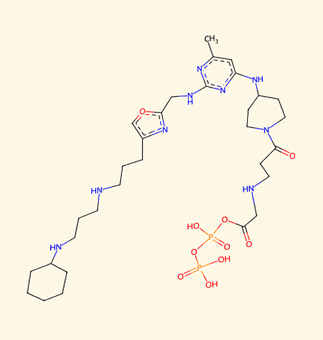 Cc1cc(NC2CCN(C(=O)CCNCC(=O)OP(=O)(O)OP(=O)(O)O)CC2)nc(NCc2nc(CCCNCCCNC3CCCCC3)co2)n1